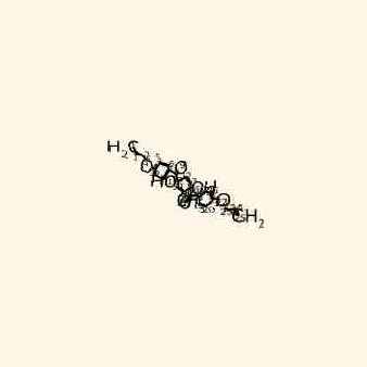 C=CCOc1ccc(C(=O)C2(O)C=CC(O)(C(=O)c3ccc(OCC=C)cc3)C(C)=C2)cc1